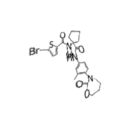 Cc1cc(NC(=O)C2(NC(=O)c3ccc(Br)s3)CCCC2)ccc1N1CCCCOC1=O